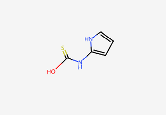 OC(=S)Nc1ccc[nH]1